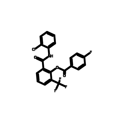 O=C(Oc1c(C(=O)Nc2ccccc2Cl)cccc1C(F)(F)F)c1ccc(F)cc1